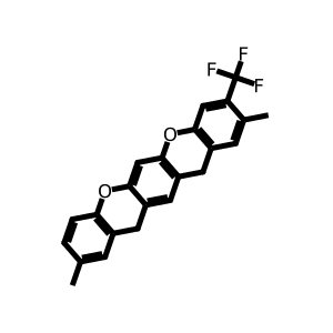 Cc1ccc2c(c1)Cc1cc3c(cc1O2)Oc1cc(C(F)(F)F)c(C)cc1C3